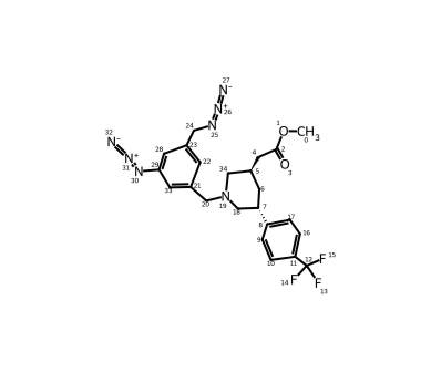 COC(=O)C[C@H]1C[C@H](c2ccc(C(F)(F)F)cc2)CN(Cc2cc(CN=[N+]=[N-])cc(N=[N+]=[N-])c2)C1